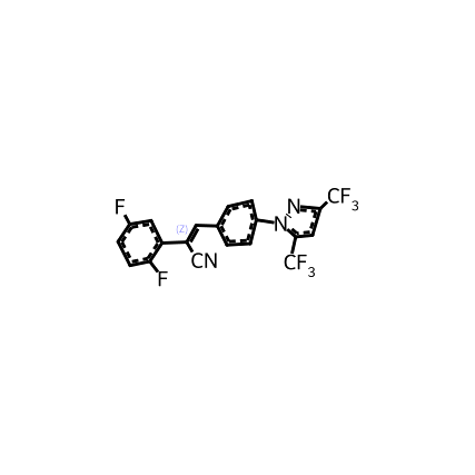 N#C/C(=C\c1ccc(-n2nc(C(F)(F)F)cc2C(F)(F)F)cc1)c1cc(F)ccc1F